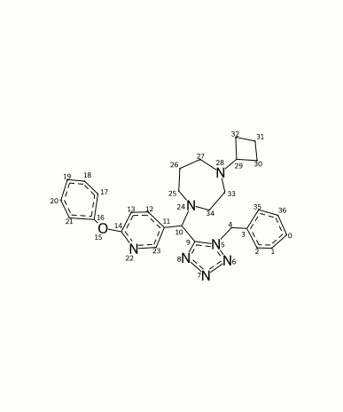 c1ccc(Cn2nnnc2C(c2ccc(Oc3ccccc3)nc2)N2CCCN(C3CCC3)CC2)cc1